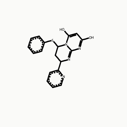 OC1=CC(O)=NC2=NC(c3ccccn3)CC(Sc3ccccc3)N12